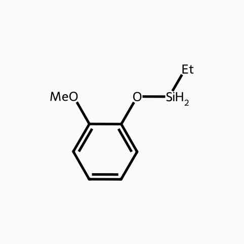 CC[SiH2]Oc1ccccc1OC